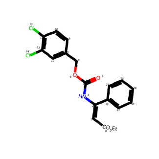 CCOC(=O)C=C(NC(=O)OCc1ccc(Cl)c(Cl)c1)c1ccccc1